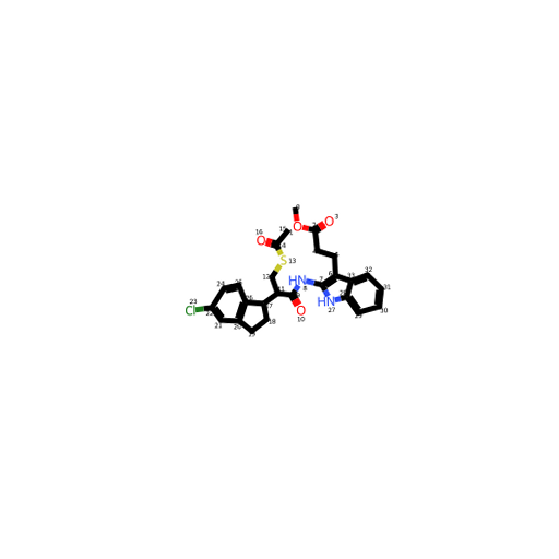 COC(=O)CCc1c(NC(=O)C(CSC(C)=O)C2CCc3cc(Cl)ccc32)[nH]c2ccccc12